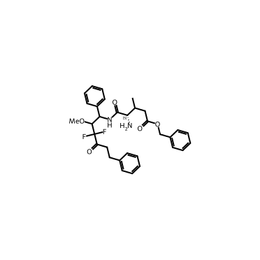 COC(C(NC(=O)[C@@H](N)C(C)CC(=O)OCc1ccccc1)c1ccccc1)C(F)(F)C(=O)CCc1ccccc1